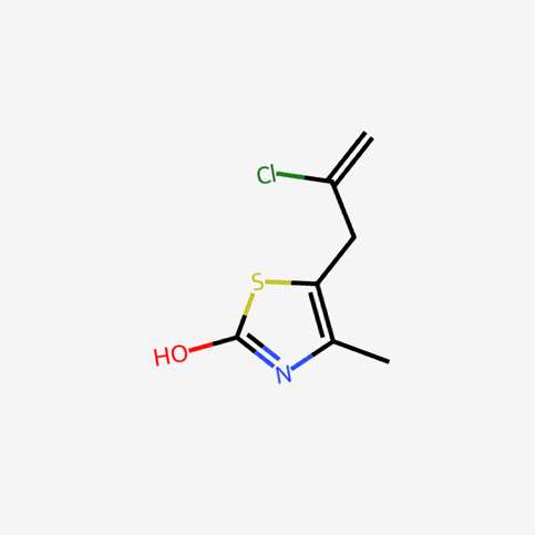 C=C(Cl)Cc1sc(O)nc1C